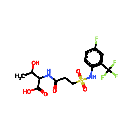 CC(O)C(NC(=O)CCS(=O)(=O)Nc1ccc(F)cc1C(F)(F)F)C(=O)O